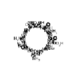 CCCC[C@H]1C(=O)N(C)[C@@H](CCCC)C(=O)N[C@@H](CC(C)C)C(=O)N[C@H](C(=O)NCC(N)=O)CNCC(=O)N[C@@H](Cc2ccc(F)cc2)C(=O)N(C)[C@@H](C)C(=O)N[C@@H](CC(N)=O)C(=O)N2CCC[C@H]2C(=O)N[C@@H](CCC(N)=O)C(=O)NC(CCC(=O)O)C(=O)N2C[C@H](O)CC2(C=O)N[C@@H](Cc2c[nH]c3ccccc23)C(=O)N[C@@H](CC(N)=O)C(=O)N[C@@H](Cc2cn(CC(=O)O)c3ccccc23)C(=O)N1C